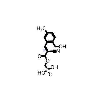 Cc1ccc(CO)c(/C=C(\C#N)C(=O)OCP(=O)(O)O)c1